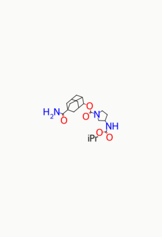 CC(C)OC(=O)NC1CCN(C(=O)OC2C3CC4CC2CC(C(N)=O)(C4)C3)C1